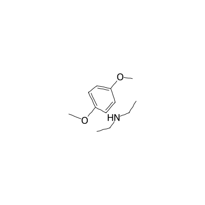 CCNCC.COc1ccc(OC)cc1